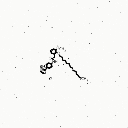 CCCCCCCCCCCCCCOc1c(CC(=O)Nc2ccc(-c3scc[n+]3C)cc2)cccc1OC.[Cl-]